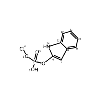 O=P(O)(OCl)Oc1cc2ccccc2[nH]1